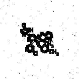 CC1CCC(Cn2c(C(C)c3ncccc3F)nc3cc(-c4noc(=O)[nH]4)nc(-c4cncc(Cl)c4)c32)CC1